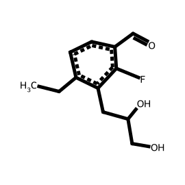 CCc1ccc(C=O)c(F)c1CC(O)CO